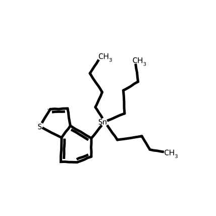 CCC[CH2][Sn]([CH2]CCC)([CH2]CCC)[c]1cccc2s[c]cc12